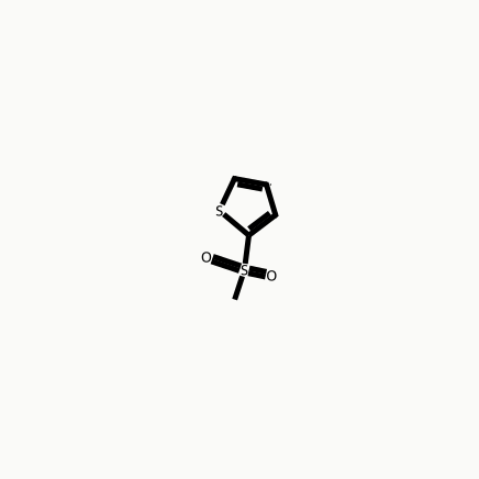 CS(=O)(=O)c1c[c]cs1